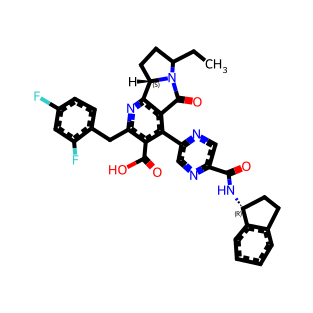 CCC1CC[C@H]2c3nc(Cc4ccc(F)cc4F)c(C(=O)O)c(-c4cnc(C(=O)N[C@@H]5CCc6ccccc65)cn4)c3C(=O)N12